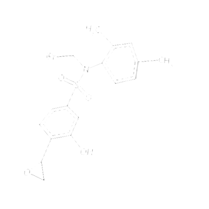 Cc1ccc(N(CC(C)C)S(=O)(=O)c2ccc(C3CO3)c(O)c2)c(C)c1